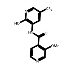 COc1cnccc1C(=O)Nc1cc(C(F)(F)F)cnc1O